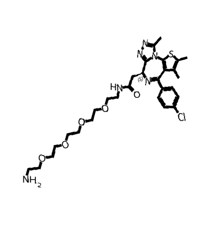 Cc1sc2c(c1C)C(c1ccc(Cl)cc1)=N[C@@H](CC(=O)NCCOCCOCCOCCOCCN)c1nnc(C)n1-2